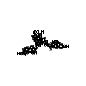 C[C@H](CCC(=O)O[C@@H]1C[C@@H]2C[C@H](OC(=O)CC[C@@H](C)[C@H]3CCC4C5C(CC[C@@]43C)[C@@]3(C)CC[C@@H](O)CC3C[C@H]5O)CC[C@]2(C)[C@H]2C[C@H](O)[C@]3(C)[C@@H]([C@H](C)CCC(=O)O)CC[C@H]3[C@H]12)[C@H]1CCC2C3CC[C@@H]4C[C@H](O)CC[C@]4(C)C3C[C@H](O)[C@@]21C